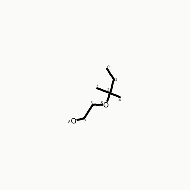 CCC(C)(C)OCC[O]